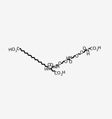 O=C(O)CCCCCCCCCCCCCCCCC(=O)NC(CCC(=O)O)C(=O)NCCOCCOCC(=O)NCCOCCOCC(=O)NCC(=O)O